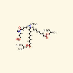 CCCCCCCCCN(CCCCC(=O)N(C)CCCO)C(CCCCCCCCC(=O)OCC(CCCC)CCCCCC)CCCCCCCCC(=O)OCC(CCCC)CCCCCC